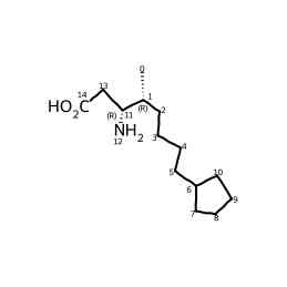 C[C@H](CCCCC1CCCC1)[C@H](N)CC(=O)O